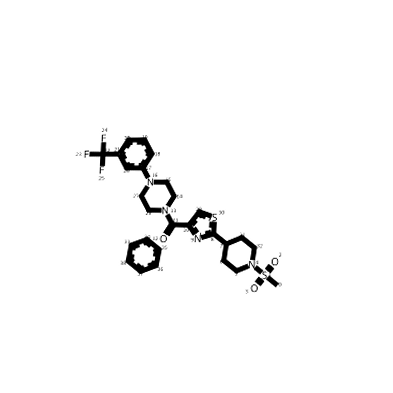 CS(=O)(=O)N1CCC(c2nc(C(=O)N3CCN(c4cccc(C(F)(F)F)c4)CC3)cs2)CC1.c1ccccc1